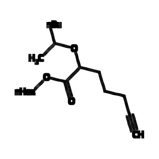 C#CCCCC(OC(C)CCC[CH2])C(=O)OCCCCCC